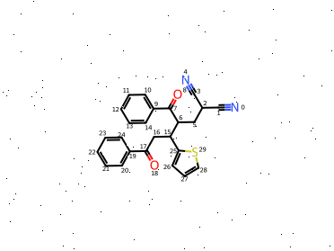 N#CC(C#N)CC(C(=O)c1ccccc1)C(CC(=O)c1ccccc1)c1cccs1